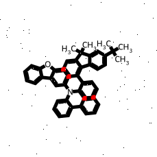 CC(C)(C)c1ccc2c(c1)C(C)(C)c1cccc(-c3ccccc3N(c3ccc4oc5ccccc5c4c3)c3ccccc3-c3ccccc3)c1-2